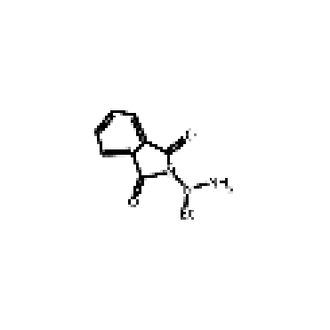 CCN(N)N1C(=O)c2ccccc2C1=O